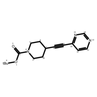 CC(C)(C)OC(=O)N1CCC(C#Cc2ccncn2)CC1